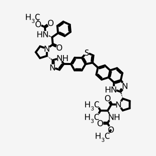 COC(=O)N[C@H](C(=O)N1CCC[C@H]1c1nc2ccc3cc(-c4csc5cc(-c6cnc([C@@H]7CCCN7C(=O)[C@H](NC(=O)OC)c7ccccc7)[nH]6)ccc45)ccc3c2[nH]1)C(C)C